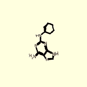 Nc1nc(NC2CCCCC2)nc2[nH]cnc12